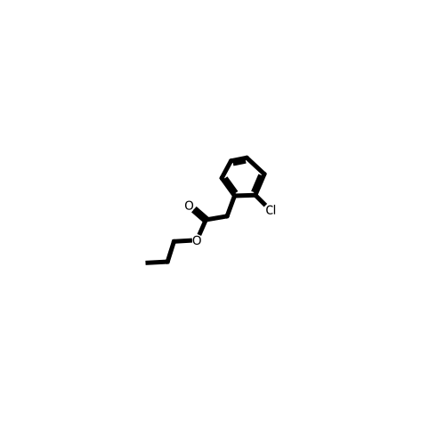 CCCOC(=O)Cc1ccccc1Cl